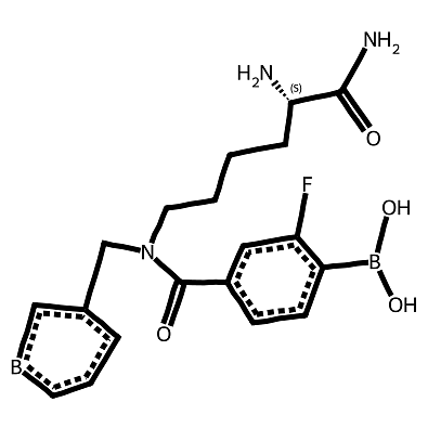 NC(=O)[C@@H](N)CCCCN(Cc1cbccc1)C(=O)c1ccc(B(O)O)c(F)c1